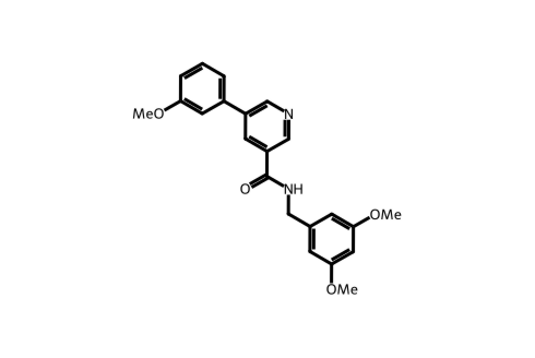 COc1cc(CNC(=O)c2cncc(-c3cccc(OC)c3)c2)cc(OC)c1